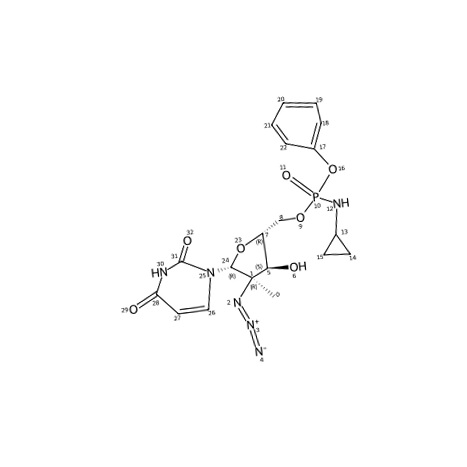 C[C@@]1(N=[N+]=[N-])[C@H](O)[C@@H](COP(=O)(NC2CC2)Oc2ccccc2)O[C@H]1n1ccc(=O)[nH]c1=O